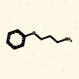 NCC[CH]Oc1ccccc1